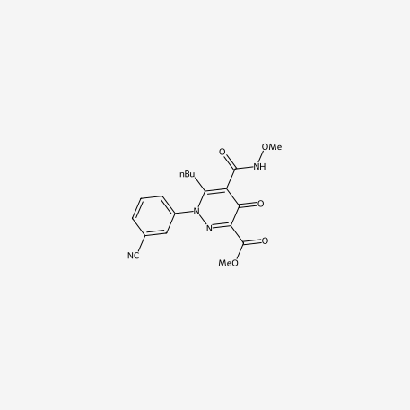 CCCCc1c(C(=O)NOC)c(=O)c(C(=O)OC)nn1-c1cccc(C#N)c1